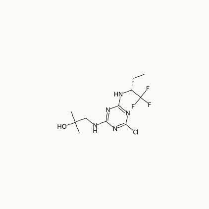 CC[C@@H](Nc1nc(Cl)nc(NCC(C)(C)O)n1)C(F)(F)F